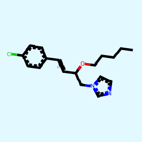 CCCCCOC(/C=C/c1ccc(Cl)cc1)Cn1ccnc1